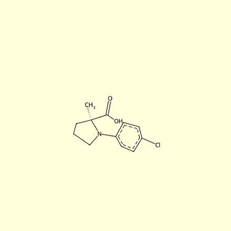 C[C@@]1(C(=O)O)CCCN1c1ccc(Cl)cc1